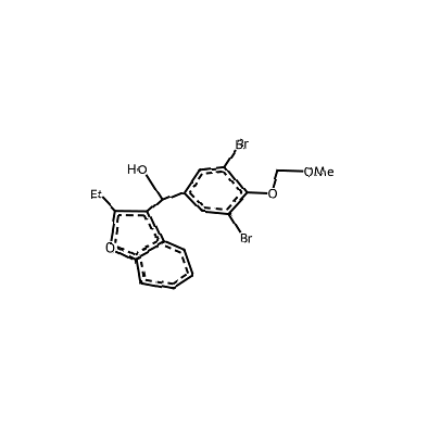 CCc1oc2ccccc2c1C(O)c1cc(Br)c(OCOC)c(Br)c1